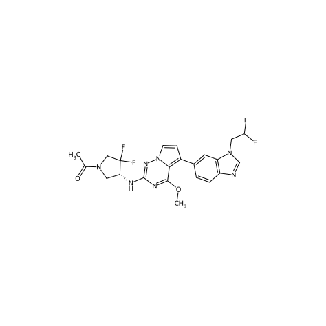 COc1nc(N[C@@H]2CN(C(C)=O)CC2(F)F)nn2ccc(-c3ccc4ncn(CC(F)F)c4c3)c12